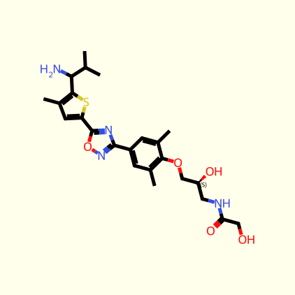 Cc1cc(-c2nc(-c3cc(C)c(OC[C@@H](O)CNC(=O)CO)c(C)c3)no2)sc1C(N)C(C)C